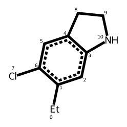 CCc1cc2c(cc1Cl)CCN2